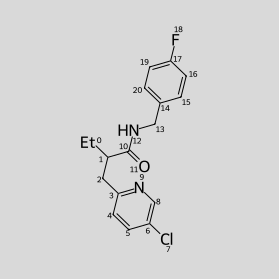 CCC(Cc1ccc(Cl)cn1)C(=O)NCc1ccc(F)cc1